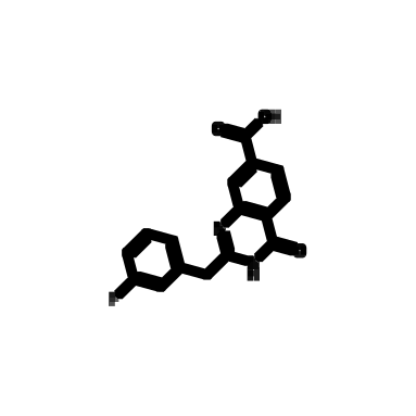 O=C(O)c1ccc2c(=O)[nH]c(Cc3cccc(F)c3)nc2c1